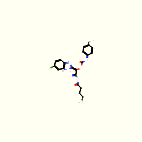 CCCCCCCCCCCCCC(=O)Nc1nn2c([nH]c3ccc(Cl)cc32)c1OC(=O)Nc1ccc(C#N)cc1